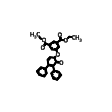 CCOC(=O)c1cc(OC2C=CC(c3ccccc3)=C(c3ccccc3)C2=O)cc(C(=O)OCC)c1